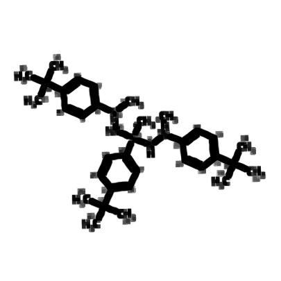 C[SiH](N[Si](C)(N[SiH](C)c1ccc(C(C)(C)C)cc1)c1ccc(C(C)(C)C)cc1)c1ccc(C(C)(C)C)cc1